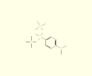 CN(C)c1ccc([Si](C)(O[Si](C)(C)C)O[Si](C)(C)C)cc1